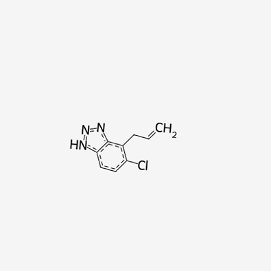 C=CCc1c(Cl)ccc2[nH]nnc12